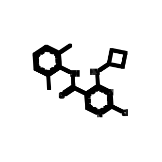 Cc1cccc(C)c1NC(=O)c1cnc(Cl)nc1NC1CCC1